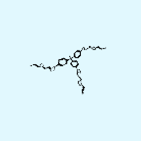 CC=COCCOc1ccc(C(C)(c2ccc(OCCOC=CC)cc2)c2ccc(OCCOC=CC)cc2)cc1